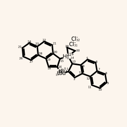 CC(C)(C)C1=Cc2c(ccc3ccccc23)[CH]1[Hf+2]1([CH]2C(C(C)(C)C)=Cc3c2ccc2ccccc32)[CH2][CH2]1.[Cl-].[Cl-]